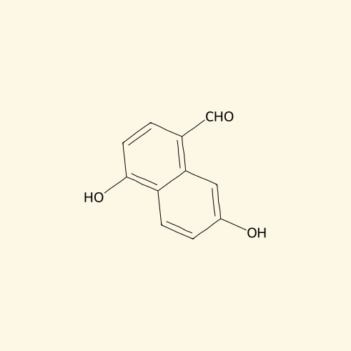 O=Cc1ccc(O)c2ccc(O)cc12